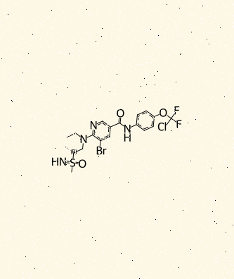 CCN(C[C@@H](C)S(C)(=N)=O)c1ncc(C(=O)Nc2ccc(OC(F)(F)Cl)cc2)cc1Br